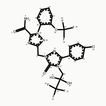 NC(=O)c1nc(Cn2nc(-c3ccc(Cl)cc3)n(CC(O)(O)C(F)(F)F)c2=O)nn1-c1ccccc1OC(F)(F)F